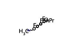 C/C=C/CCC1CCC(c2ccc(-c3ccc(-c4ccc(OCCC)c(F)c4F)cc3)cc2F)CC1